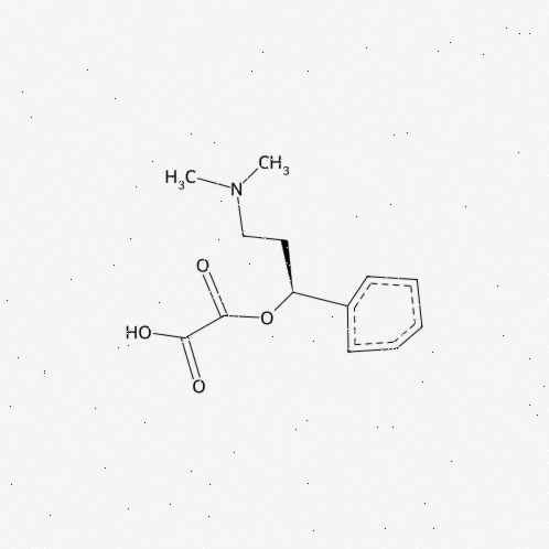 CN(C)CC[C@H](OC(=O)C(=O)O)c1ccccc1